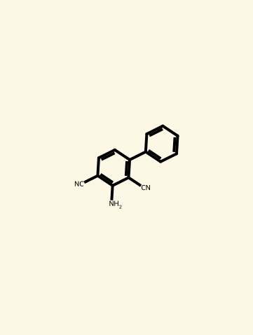 N#Cc1ccc(-c2ccccc2)c(C#N)c1N